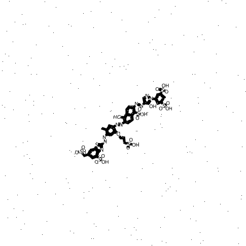 Cc1cc(N=Nc2ccc3c(S(=O)(=O)O)c(N=Nc4cnn(-c5cc(S(=O)(=O)O)cc(S(=O)(=O)O)c5)c4O)ccc3c2O)c(OCCCS(=O)(=O)O)cc1N=Nc1nc2c(S(=O)(=O)O)cc(C[SH](=O)=O)cc2s1